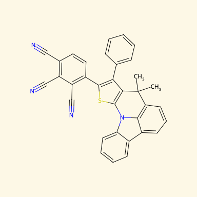 CC1(C)c2c(sc(-c3ccc(C#N)c(C#N)c3C#N)c2-c2ccccc2)-n2c3ccccc3c3cccc1c32